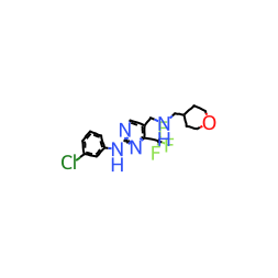 FC(F)(F)c1nc(Nc2cccc(Cl)c2)ncc1CNCC1CCOCC1